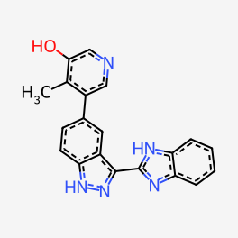 Cc1c(O)cncc1-c1ccc2[nH]nc(-c3nc4ccccc4[nH]3)c2c1